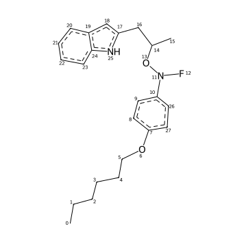 CCCCCCOc1ccc(N(F)OC(C)Cc2cc3ccccc3[nH]2)cc1